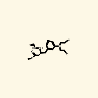 COC(=O)C[C@H](Cc1cccc(N(CCCl)CCCl)c1)NBC=O